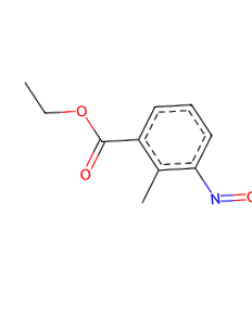 CCOC(=O)c1cccc(N=O)c1C